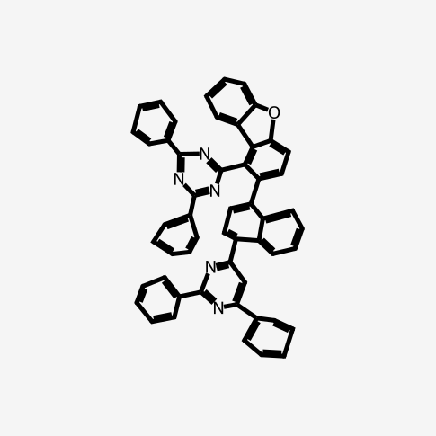 c1ccc(-c2cc(-c3ccc(-c4ccc5oc6ccccc6c5c4-c4nc(-c5ccccc5)nc(-c5ccccc5)n4)c4ccccc34)nc(-c3ccccc3)n2)cc1